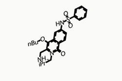 CCCCOc1c(CN)n(CC(C)C)c(=O)c2ccc(NS(=O)(=O)c3ccccc3)cc12